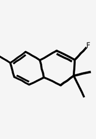 CC1=CC2C=C(F)C(C)(C)CC2C=C1